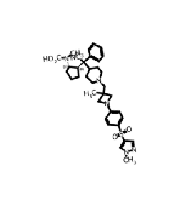 CN(C(=O)O)[C@H]1CCC[C@@H]1C(C#N)(c1ccccc1)C1CCN(CC2(C)CN(c3ccc(S(=O)(=O)c4cnn(C)c4)cc3)C2)CC1